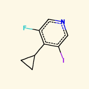 Fc1cncc(I)c1C1CC1